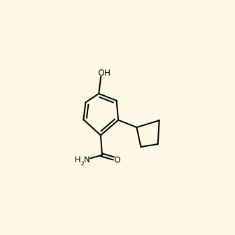 NC(=O)c1ccc(O)cc1C1CCC1